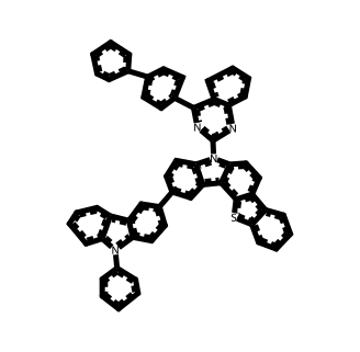 c1ccc(-c2ccc(-c3nc(-n4c5ccc(-c6ccc7c(c6)c6ccccc6n7-c6ccccc6)cc5c5c6sc7ccccc7c6ccc54)nc4ccccc34)cc2)cc1